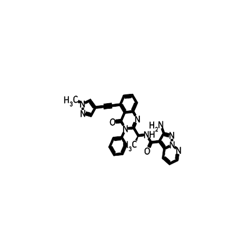 C[C@H](NC(=O)c1c(N)nn2ncccc12)c1nc2cccc(C#Cc3cnn(C)c3)c2c(=O)n1-c1ccccc1